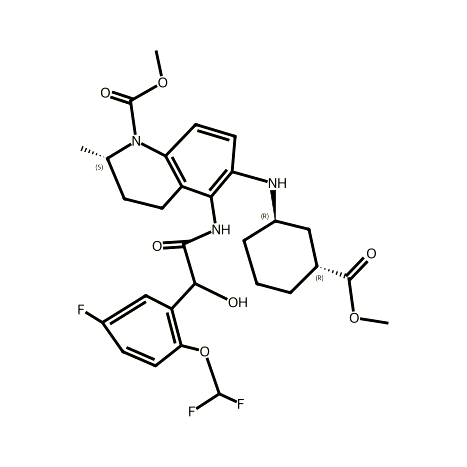 COC(=O)[C@@H]1CCC[C@@H](Nc2ccc3c(c2NC(=O)C(O)c2cc(F)ccc2OC(F)F)CC[C@H](C)N3C(=O)OC)C1